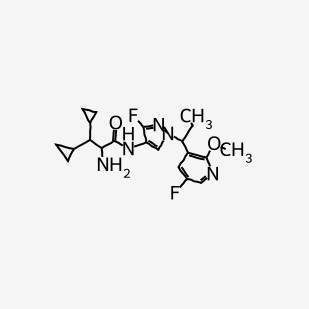 CCC(c1cc(F)cnc1OC)n1cc(NC(=O)C(N)C(C2CC2)C2CC2)c(F)n1